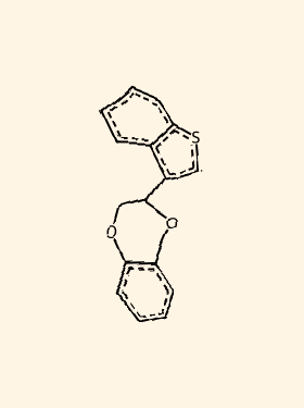 [c]1sc2ccccc2c1C1COc2ccccc2O1